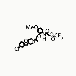 COc1ccc(NC(=O)COC(=O)C(F)(F)F)c(OCC(C)N2CCC3(CC2)Cc2cc(Cl)ccc2O3)c1